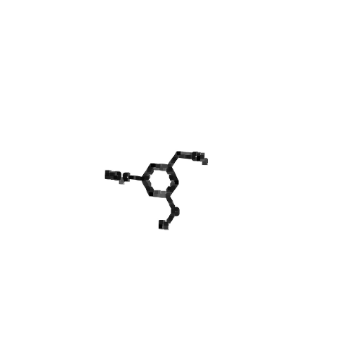 C=Cc1cc(OCC)cc(C(=O)OCC)c1